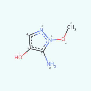 COn1ncc(O)c1N